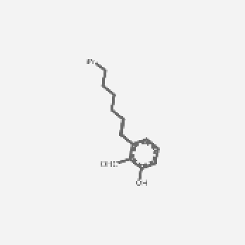 CC(C)CCCCCCc1cccc(O)c1C=O